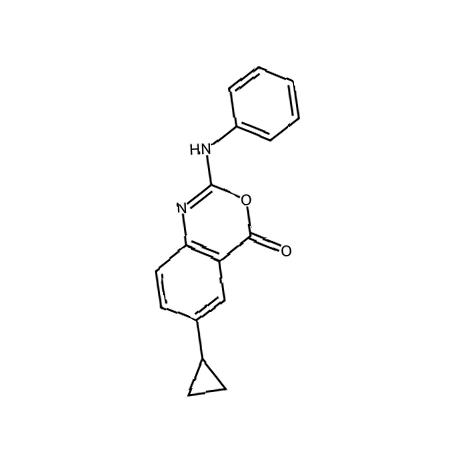 O=c1oc(Nc2ccccc2)nc2ccc(C3CC3)cc12